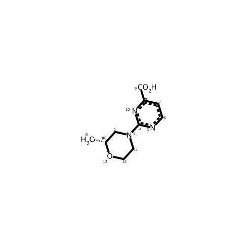 C[C@@H]1CN(c2nccc(C(=O)O)n2)CCO1